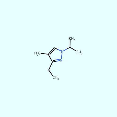 CCc1nn(C(C)C)cc1C